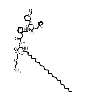 CCCCCCCCCCCCCCCCCCCCCC=CC(=O)N[C@@H](CNC(=O)Cc1ccccc1CNC(=O)[C@H](Cc1ccco1)NC(=O)[C@@H]1CCCN(C=O)C1)C(=O)NCCOCCN